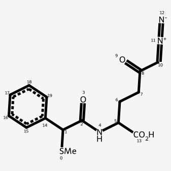 CSC(C(=O)NC(CCC(=O)C=[N+]=[N-])C(=O)O)c1ccccc1